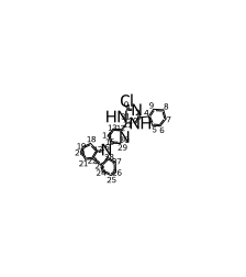 ClC1=NC(c2ccccc2)NC(c2ccc(-n3c4ccccc4c4ccccc43)cn2)N1